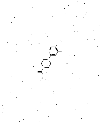 CC(C)(C)OC(=O)N1CCN(c2cc(Cl)c(Cl)cn2)CC1